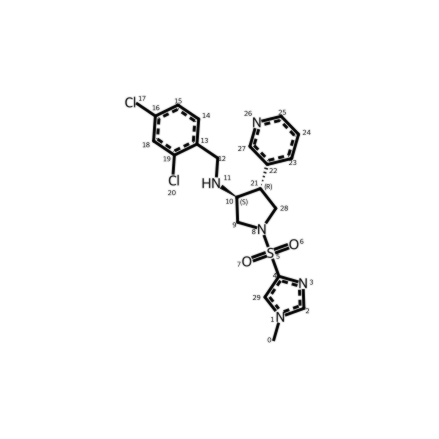 Cn1cnc(S(=O)(=O)N2C[C@@H](NCc3ccc(Cl)cc3Cl)[C@H](c3cccnc3)C2)c1